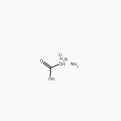 N.N.O=C(O)O.[Li]